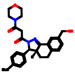 COc1ccc([C@@H]2[C@@H]3CCc4ccc(CO)cc4C3=NN2C(=O)CC(=O)N2CCOCC2)cc1